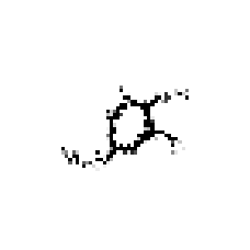 CCc1cc(OC)cnc1C(C)C